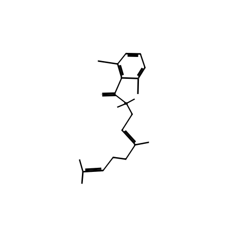 CC(C)=CCC/C(C)=C/CC1(O)Oc2cccc(C)c2C1=O